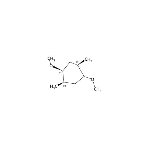 COC1C[C@@H](C)[C@@H](OC)C[C@H]1C